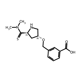 CN(C)C(=S)[C@@H]1C[C@@H](OCc2cccc(C(=O)O)c2)CN1